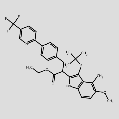 CCOC(=O)C(Cc1ccc(-c2ccc(C(F)(F)F)cn2)cc1)c1[nH]c2ccc(OC)c(C)c2c1SC(C)(C)C